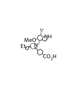 CCO[C@@H]1CCN(Cc2c(OC)cc(C3CC3)c3[nH]ccc23)[C@@H](c2ccc(C(=O)O)cc2)C1